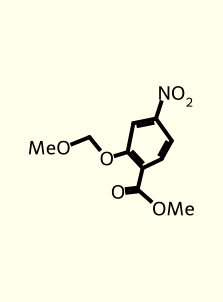 COCOc1cc([N+](=O)[O-])ccc1C(=O)OC